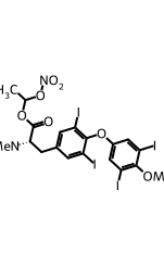 CN[C@@H](Cc1cc(I)c(Oc2cc(I)c(OC)c(I)c2)c(I)c1)C(=O)OC(C)O[N+](=O)[O-]